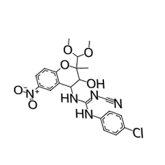 COC(OC)C1(C)Oc2ccc([N+](=O)[O-])cc2C(NC(=NC#N)Nc2ccc(Cl)cc2)C1O